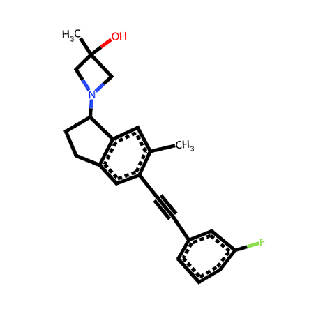 Cc1cc2c(cc1C#Cc1cccc(F)c1)CCC2N1CC(C)(O)C1